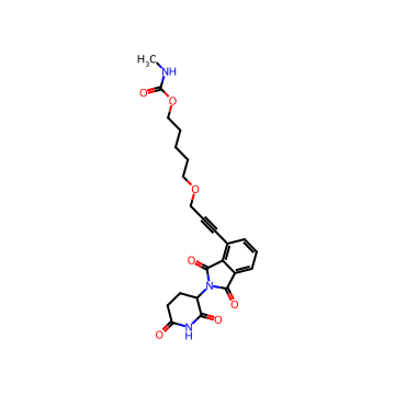 CNC(=O)OCCCCCOCC#Cc1cccc2c1C(=O)N(C1CCC(=O)NC1=O)C2=O